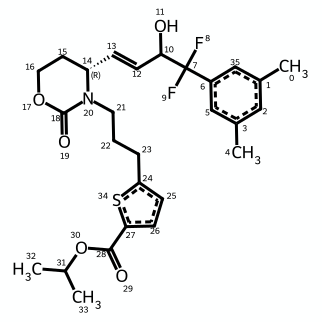 Cc1cc(C)cc(C(F)(F)C(O)C=C[C@H]2CCOC(=O)N2CCCc2ccc(C(=O)OC(C)C)s2)c1